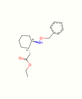 CCOC(=O)C[C@@H]1CCCC[C@H]1NOCc1ccccc1